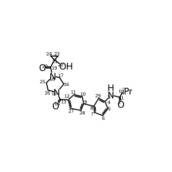 CC(C)C(=O)Nc1cccc(-c2ccc(C(=O)N3CCN(C(=O)C4(O)CC4)CC3)cc2)c1